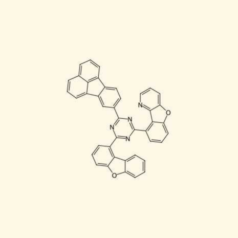 c1cc2c3c(cccc3c1)-c1cc(-c3nc(-c4cccc5oc6ccccc6c45)nc(-c4cccc5oc6cccnc6c45)n3)ccc1-2